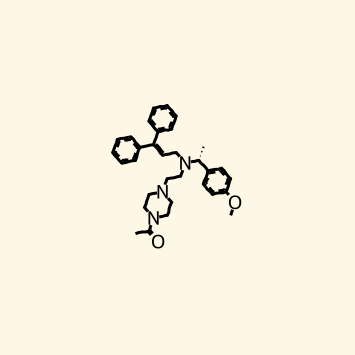 COc1ccc([C@@H](C)N(CC=C(c2ccccc2)c2ccccc2)CCN2CCN(C(C)=O)CC2)cc1